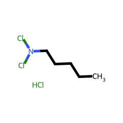 CCCCCN(Cl)Cl.Cl